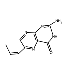 C/C=C\c1cnc2nc(N)[nH]c(=O)c2n1